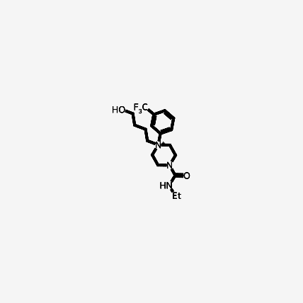 CCNC(=O)N1CC[N+](CCCCO)(c2cccc(C(F)(F)F)c2)CC1